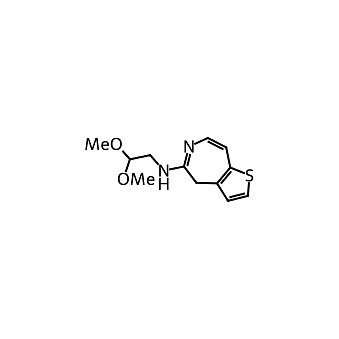 COC(CNC1=NC=Cc2sccc2C1)OC